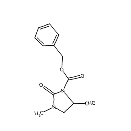 CN1CC(C=O)N(C(=O)OCc2ccccc2)C1=O